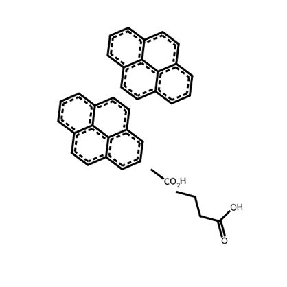 CC(=O)O.CCCC(=O)O.c1cc2ccc3cccc4ccc(c1)c2c34.c1cc2ccc3cccc4ccc(c1)c2c34